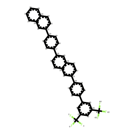 FC(F)(F)c1cc(-c2ccc(-c3ccc4cc(-c5ccc(-c6ccc7ccccc7c6)cc5)ccc4c3)cc2)cc(C(F)(F)F)c1